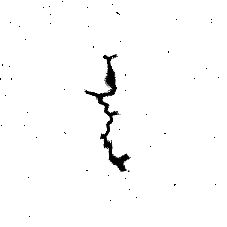 [CH]=C(C)CCCC(C)CCCC(C)CCCC(C)CCCC(C)C